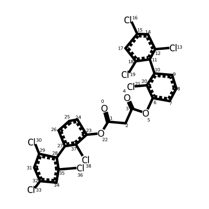 O=C(CC(=O)Oc1cccc(-c2c(Cl)cc(Cl)cc2Cl)c1Cl)Oc1cccc(-c2c(Cl)cc(Cl)cc2Cl)c1Cl